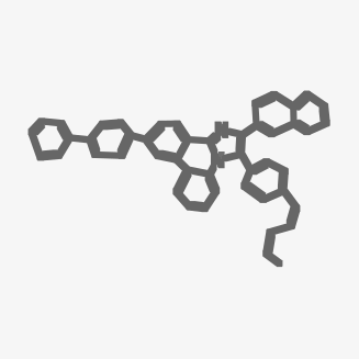 C/C=C\C=C/c1ccc(-c2c(-c3ccc4ccccc4c3)nc3c4ccc(-c5ccc(-c6ccccc6)cc5)cc4c4ccccc4n23)cc1